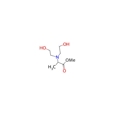 COC(=O)C(C)N(CCO)CCO